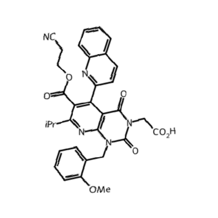 COc1ccccc1Cn1c(=O)n(CC(=O)O)c(=O)c2c(-c3ccc4ccccc4n3)c(C(=O)OCCC#N)c(C(C)C)nc21